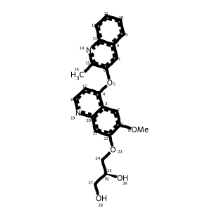 COc1cc2c(Oc3cc4ccccc4nc3C)ccnc2cc1OC[C@@H](O)CO